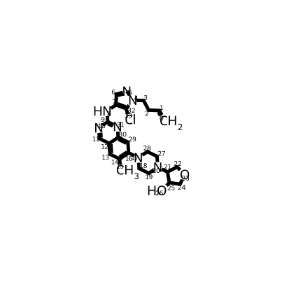 C=CCCn1ncc(Nc2ncc3cc(C)c(N4CCN(C5COCC5O)CC4)cc3n2)c1Cl